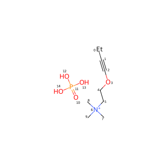 CCC#COCC[N+](C)(C)C.O=P(O)(O)O